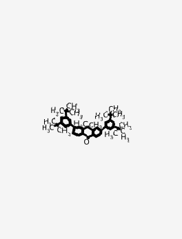 CC(C)(C)c1cc(-c2ccc3c(c2)C(C)(C)c2cc(-c4cc(C(C)(C)C)cc(C(C)(C)C)c4)ccc2C3=O)cc(C(C)(C)C)c1